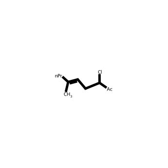 CCCC(C)=CCC(Cl)C(C)=O